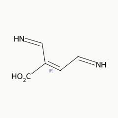 N=C/C=C(\C=N)C(=O)O